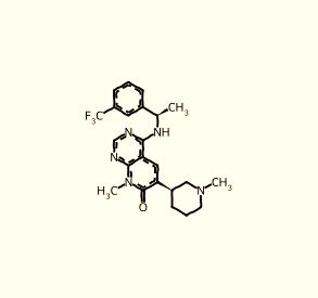 C[C@@H](Nc1ncnc2c1cc([C@@H]1CCCN(C)C1)c(=O)n2C)c1cccc(C(F)(F)F)c1